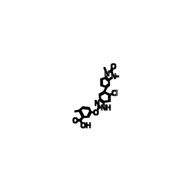 Cc1ccc(Oc2nc3cc(-c4ccc5c(c4)n(C)c(=O)n5C)c(Cl)cc3[nH]2)cc1C(=O)O